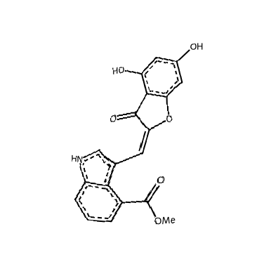 COC(=O)c1cccc2[nH]cc(C=C3Oc4cc(O)cc(O)c4C3=O)c12